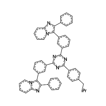 CC(C)Cc1ccc(-c2nc(-c3cccc(-c4c(-c5ccccc5)nc5ccccn45)c3)nc(-c3cccc(-c4c(-c5ccccc5)nc5ccccn45)c3)n2)cc1